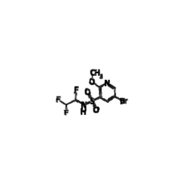 COc1ncc(Br)cc1S(=O)(=O)NC(F)C(F)F